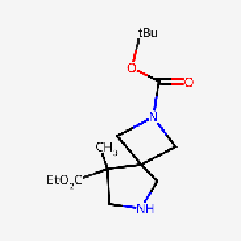 CCOC(=O)C1(C)CNCC12CN(C(=O)OC(C)(C)C)C2